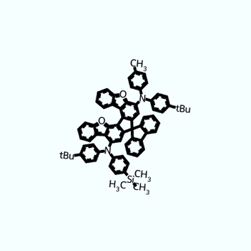 Cc1ccc(N(c2ccc(C(C)(C)C)cc2)c2cc3c(c4c2oc2ccccc24)-c2c(cc(N(c4ccc(C(C)(C)C)cc4)c4ccc([Si](C)(C)C)cc4)c4c2oc2ccccc24)C32c3ccccc3-c3ccccc32)cc1